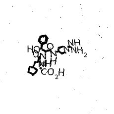 N=C(N)N1CCC(NC(=O)[C@H](NC(=O)C(CC2CCCCC2)NCC(=O)O)[C@H](O)c2ccccc2)CC1